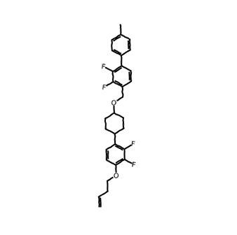 C=CCCOc1ccc(C2CCC(OCc3ccc(-c4ccc(C)cc4)c(F)c3F)CC2)c(F)c1F